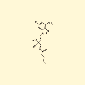 C#CC(CCn1cnc2c(N)nc(F)nc21)(COC(=O)CCCC)OC